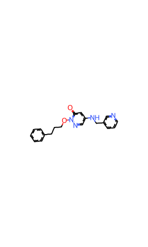 O=c1cc(NCc2cccnc2)cnn1OCCCc1ccccc1